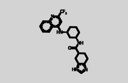 O=C(N[C@@H]1CCC[C@H](Nc2cc(C(F)(F)F)nc3ccccc23)C1)C1CCc2nc[nH]c2C1